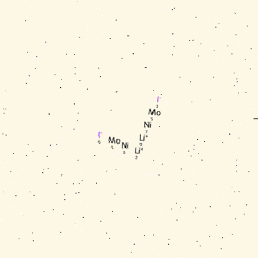 [I-].[I-].[Li+].[Li+].[Mo].[Mo].[Ni].[Ni]